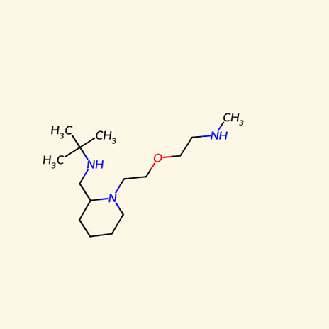 CNCCOCCN1CCCCC1CNC(C)(C)C